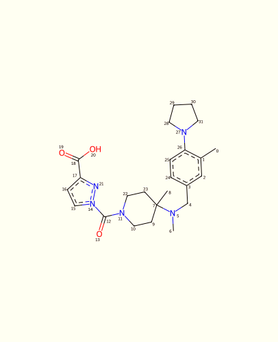 Cc1cc(CN(C)C2(C)CCN(C(=O)n3ccc(C(=O)O)n3)CC2)ccc1N1CCCC1